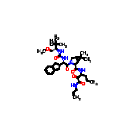 C=CCNC(=O)C(=O)C(CCC)NC(=O)[C@@H]1C2C(CN1C(=O)[C@@H](NC(=O)N[C@H](COC)C(C)(C)C)C1Cc3ccccc3C1)C2(C)C